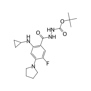 CC(C)(C)OC(=O)NNC(=O)c1cc(F)c(N2CCCC2)cc1NC1CC1